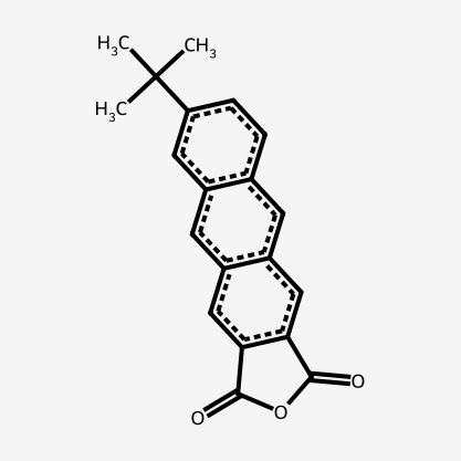 CC(C)(C)c1ccc2cc3cc4c(cc3cc2c1)C(=O)OC4=O